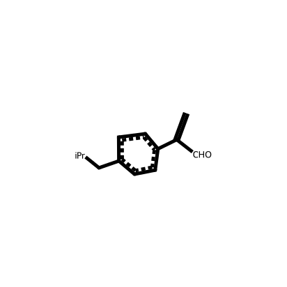 C=C(C=O)c1ccc(CC(C)C)cc1